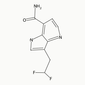 NC(=O)c1ccnc2c1[N]C=C2CC(F)F